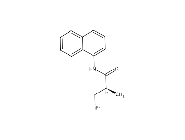 CC(C)C[C@H](C)C(=O)Nc1cccc2ccccc12